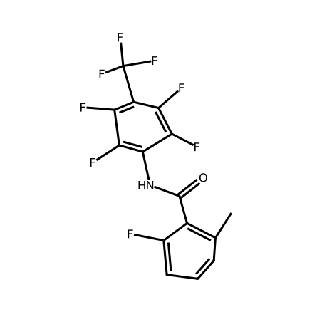 Cc1cccc(F)c1C(=O)Nc1c(F)c(F)c(C(F)(F)F)c(F)c1F